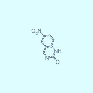 O=c1ncc2cc([N+](=O)[O-])ccc2[nH]1